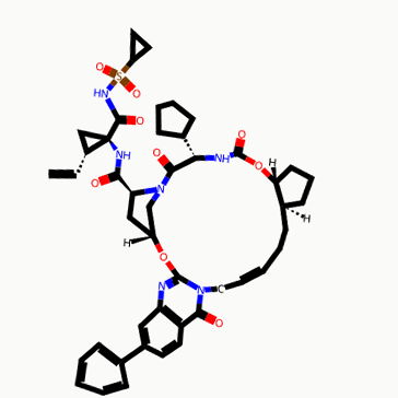 C=C[C@@H]1C[C@]1(NC(=O)[C@@H]1C[C@@H]2CN1C(=O)[C@H](C1CCCC1)NC(=O)O[C@@H]1CCC[C@H]1CCC=CCn1c(nc3cc(-c4ccccc4)ccc3c1=O)O2)C(=O)NS(=O)(=O)C1CC1